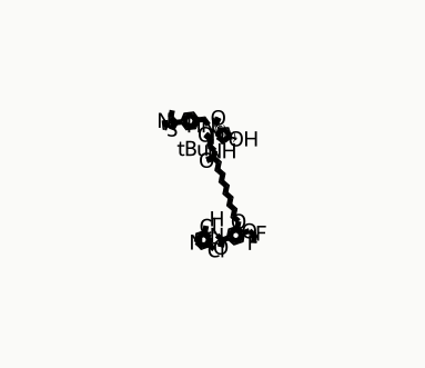 Cc1ncsc1-c1ccc(CNC(=O)[C@@H]2C[C@@H](O)CN2C(=O)C(NC(=O)CCCCCCCCCCOc2cc(C(=O)Nc3c(Cl)cncc3Cl)ccc2OC(F)F)C(C)(C)C)cc1